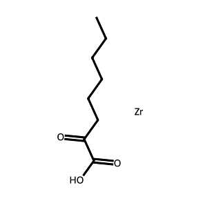 CCCCCCC(=O)C(=O)O.[Zr]